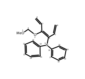 C=C/C(OCOC)=C(\C=C)N(c1ccccc1)c1ccccc1